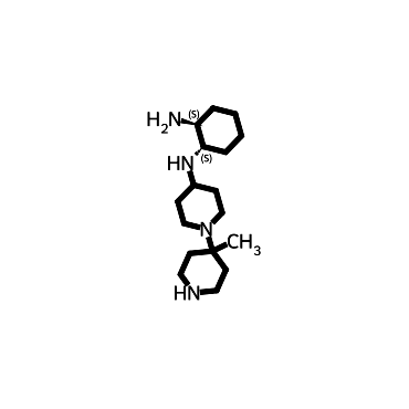 CC1(N2CCC(N[C@H]3CCCC[C@@H]3N)CC2)CCNCC1